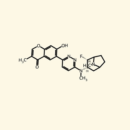 Cc1coc2cc(O)c(-c3ccc(N(C)[C@H]4CC5CCC([C@H]4F)N5C)nn3)cc2c1=O